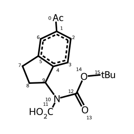 CC(=O)c1ccc2c(c1)CCC2N(C(=O)O)C(=O)OC(C)(C)C